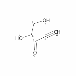 C#CC=O.OCCO